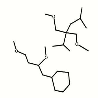 COCC(COC)(CC(C)C)C(C)C.COCCC(CC1CCCCC1)OC